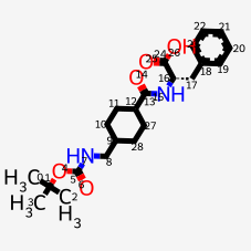 CC(C)(C)OC(=O)NCC1CCC(C(=O)N[C@@H](Cc2ccccc2)C(=O)O)CC1